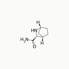 NC(=O)[C@H]1N[C@@H]2CC[C@H]1C2